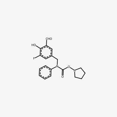 O=Cc1cc(CN(C(=O)ON2CCCC2)c2ccccc2)cc(F)c1O